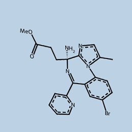 COC(=O)CC[C@]1(N)N=C(c2ccccn2)c2cc(Br)ccc2-n2c(C)cnc21